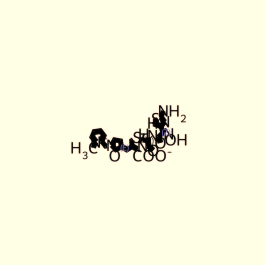 C[n+]1ccccc1CN1CC/C(=C\C2=C(C(=O)[O-])N3C(=O)[C@@H](NC(=O)/C(=N\O)c4csc(N)n4)[C@H]3SC2)C1=O